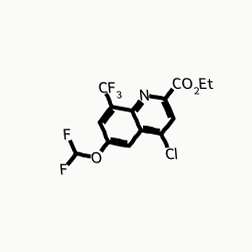 CCOC(=O)c1cc(Cl)c2cc(OC(F)F)cc(C(F)(F)F)c2n1